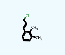 Cc1cccc(C=CCCl)c1C